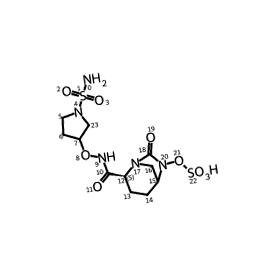 NS(=O)(=O)N1CCC(ONC(=O)[C@@H]2CCC3CN2C(=O)N3OS(=O)(=O)O)C1